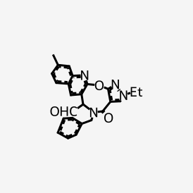 CCn1cc2c(n1)Oc1nc3cc(C)ccc3cc1C(C=O)N(Cc1ccccc1)C2=O